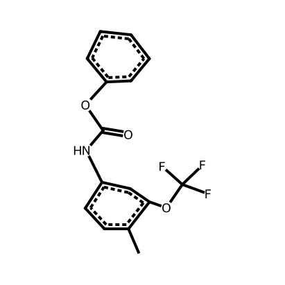 Cc1ccc(NC(=O)Oc2ccccc2)cc1OC(F)(F)F